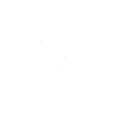 C/C=C\C(C)(C)CC(C)=O